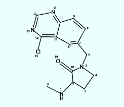 CNC1CCN(Cc2ccc3ncnc(Cl)c3c2)C1=O